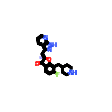 O=C1/C(=C/c2n[nH]c3ncccc23)Oc2c1ccc(F)c2CC1CCNCC1